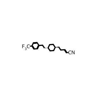 N#C/C=C/CC[C@H]1CC[C@H](CCc2ccc(C(F)(F)F)cc2)CC1